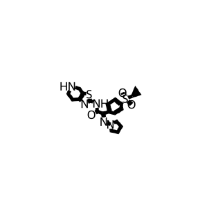 O=C(Nc1nc2c(s1)CNCC2)/C(=N/N1CCCC1)c1ccc(S(=O)(=O)C2CC2)cc1